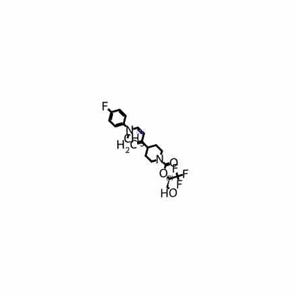 C=C(/C=C\N(C)c1ccc(F)cc1)C1CCN(C(=O)O[C@H](CO)C(F)(F)F)CC1